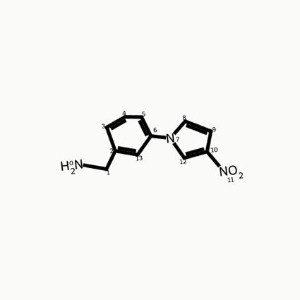 NCc1cccc(-n2ccc([N+](=O)[O-])c2)c1